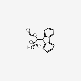 O=[C]OC(C1c2ccccc2-c2ccccc21)S(=O)(=O)O